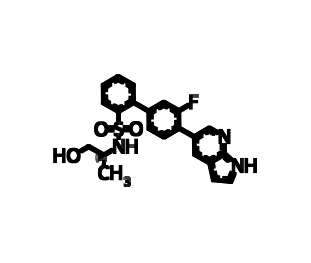 C[C@H](CO)NS(=O)(=O)c1ccccc1-c1ccc(-c2cnc3[nH]ccc3c2)c(F)c1